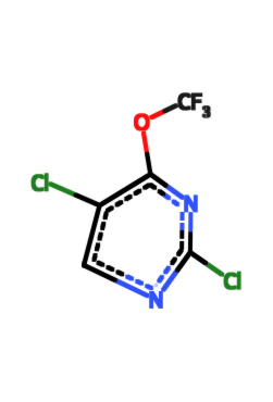 FC(F)(F)Oc1nc(Cl)ncc1Cl